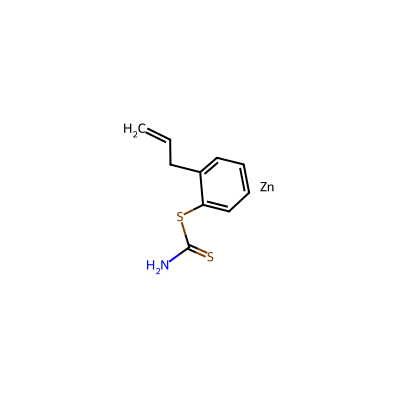 C=CCc1ccccc1SC(N)=S.[Zn]